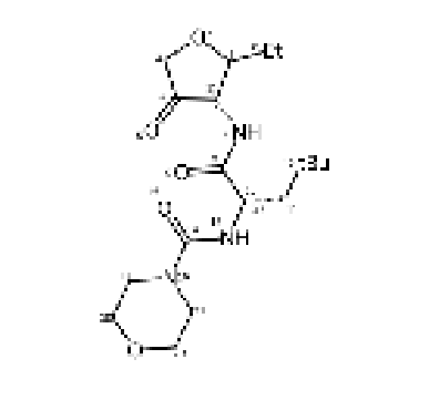 CCC1OCC(=O)[C@H]1NC(=O)[C@H](CC(C)(C)C)NC(=O)N1CCOCC1